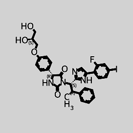 C[C@H](c1ccccc1)[C@@H](c1ncc(-c2ccc(I)cc2F)[nH]1)N1C(=O)N[C@H](c2ccc(OC[C@@H](O)CO)cc2)C1=O